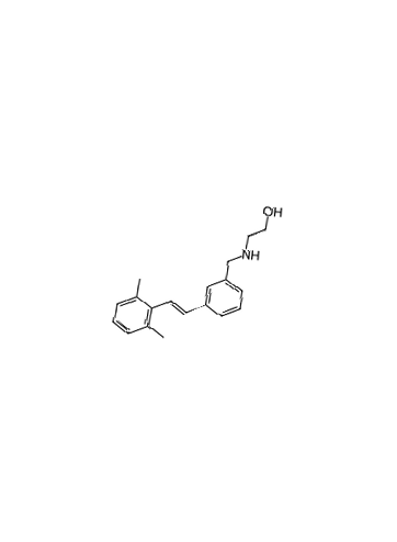 Cc1cccc(C)c1C=Cc1cccc(CNCCO)c1